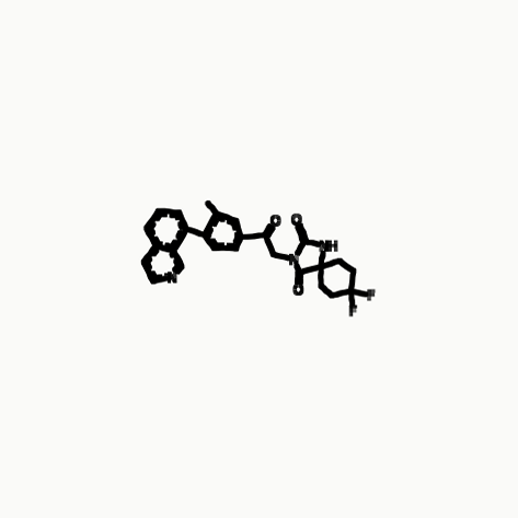 Cc1cc(C(=O)CN2C(=O)NC3(CCC(F)(F)CC3)C2=O)ccc1-c1cccc2ccncc12